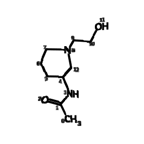 CC(=O)NC1CCCN(CCO)C1